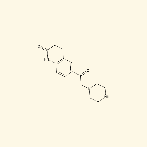 O=C1CCc2cc(C(=O)CN3CCNCC3)ccc2N1